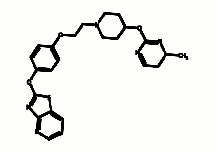 CC1CC=NC(OC2CCN(CCOc3ccc(Oc4nc5ncccc5s4)cc3)CC2)=N1